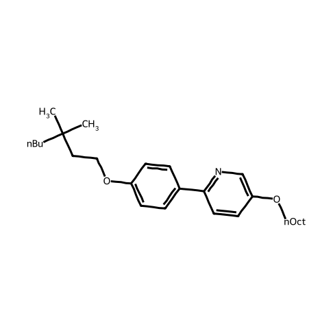 CCCCCCCCOc1ccc(-c2ccc(OCCC(C)(C)CCCC)cc2)nc1